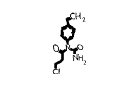 C=Cc1ccc(N(C(N)=O)C(=O)CCCl)cc1